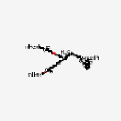 CCCCCC/C=C/COC(=O)CCCCCCCCN(CCCCCCCCC(=O)OC/C=C/CCCCCC)CCCN(C)CCCCCC(=O)Nc1nc2ccccc2c2sc(CCC)nc12